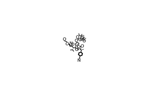 CC(C)[C@@H](C(=O)N1C[C@H](OC(=O)OC(C)C(C)(C)SS(C)(=O)=O)C[C@H]1C(=O)N[C@@H](C)c1ccc(C#N)cc1)c1cc(OCC=O)no1